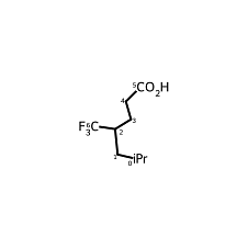 CC(C)CC(CCC(=O)O)C(F)(F)F